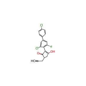 C#CCC1CC(O)=C(c2c(F)cc(-c3ccc(Cl)cc3)cc2Cl)C1=O